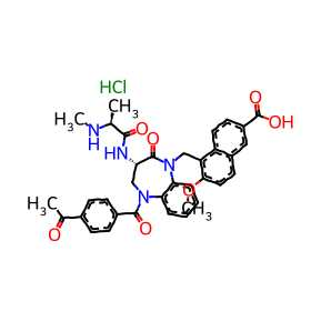 CN[C@@H](C)C(=O)N[C@H]1CN(C(=O)c2ccc(C(C)=O)cc2)c2ccccc2N(Cc2c(OC)ccc3cc(C(=O)O)ccc23)C1=O.Cl